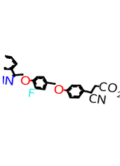 N#CC(CC(=O)O)c1ccc(OCc2ccc(OCC(=N)c3ccccc3)c(F)c2)cc1